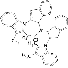 Cc1c(C)n(C2=Cc3ccccc3[CH]2[Zr]([CH2]Cl)[CH]2C(n3c(C)c(C)c4ccccc43)=Cc3ccccc32)c2ccccc12